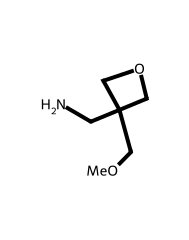 COCC1(CN)COC1